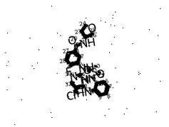 CS(=O)(=O)Nc1ccccc1Nc1nc(Nc2cc(C(=O)NC3CCOC3)ccc2F)ncc1Cl